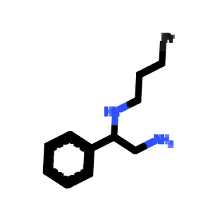 CC(C)CCCNC(CN)c1ccccc1